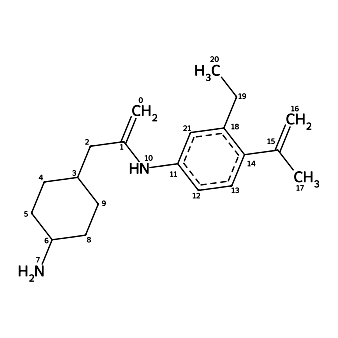 C=C(CC1CCC(N)CC1)Nc1ccc(C(=C)C)c(CC)c1